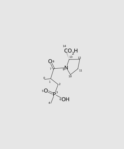 CC(CP(C)(=O)O)C(=O)N1CCC[C@H]1C(=O)O